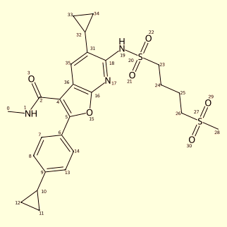 CNC(=O)c1c(-c2ccc(C3CC3)cc2)oc2nc(NS(=O)(=O)CCCCS(C)(=O)=O)c(C3CC3)cc12